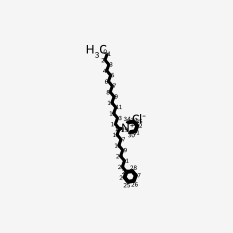 CCCCCCCCCCCCCCCC(CCCCCCCc1ccccc1)[n+]1ccccc1.[Cl-]